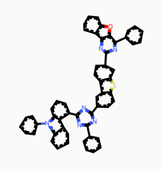 c1ccc(-c2nc(-c3ccc4sc5cc(-c6nc(-c7ccccc7)c7oc8ccccc8c7n6)ccc5c4c3)nc(-c3cccc4c3c3ccccc3n4-c3ccccc3)n2)cc1